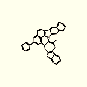 CC1=C(n2c3c(c4cc5ccccc5cc42)C=CCC3)C(c2cccc(-c3ccccc3)c2)Nc2sc3ccccc3c2C1